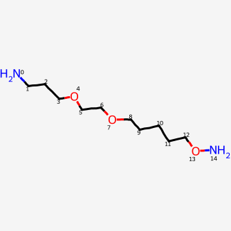 NCCCOCCOCCCCCON